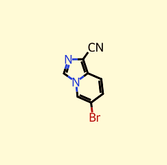 N#Cc1ncn2cc(Br)ccc12